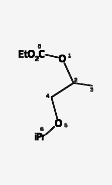 CCOC(=O)OC(C)COC(C)C